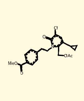 COC(=O)c1ccc(CCn2c(COC(C)=O)c(C3CC3)cc(Cl)c2=O)cc1